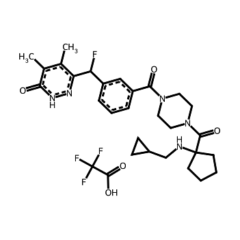 Cc1c(C(F)c2cccc(C(=O)N3CCN(C(=O)C4(NCC5CC5)CCCC4)CC3)c2)n[nH]c(=O)c1C.O=C(O)C(F)(F)F